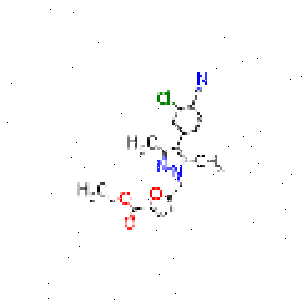 CCOC(=O)c1ccc(Cn2nc(C)c(-c3ccc(C#N)c(Cl)c3)c2C)o1